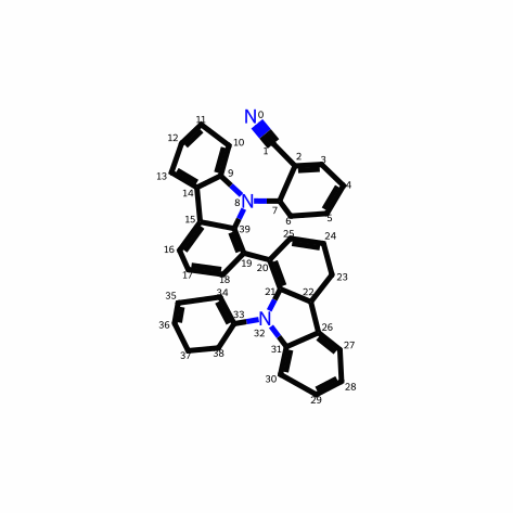 N#CC1=CC=CCC1n1c2ccccc2c2cccc(C3=C4C(CC=C3)c3ccccc3N4C3=CC=CCC3)c21